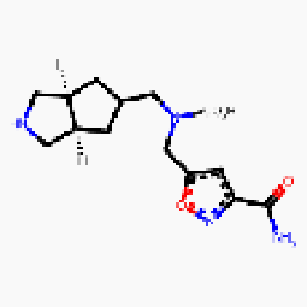 NC(=O)c1cc(CN(CC2C[C@H]3CNC[C@H]3C2)C(=O)O)on1